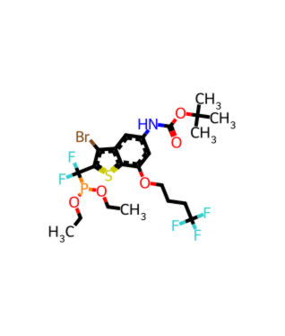 CCOP(OCC)C(F)(F)c1sc2c(OCCCC(F)(F)F)cc(NC(=O)OC(C)(C)C)cc2c1Br